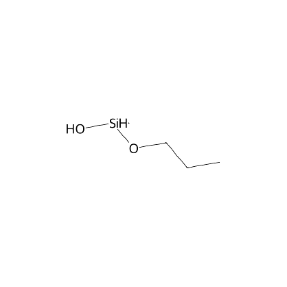 CCCO[SiH]O